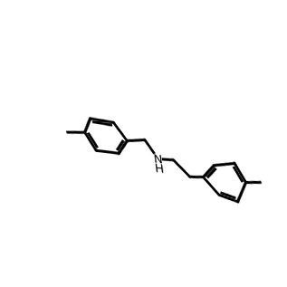 Cc1ccc(CCNCc2ccc(C)cc2)cc1